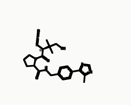 Cc1ncsc1-c1ccc(CNC(=O)C2CCCN2C(=O)[C@@H](N=C=O)C(C)(C)CO)cc1